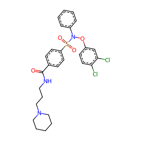 O=C(NCCCN1CCCCC1)c1ccc(S(=O)(=O)N(Oc2ccc(Cl)c(Cl)c2)c2ccccc2)cc1